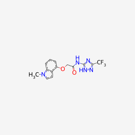 Cn1ccc2c(OCC(=O)Nc3nc(C(F)(F)F)n[nH]3)cccc21